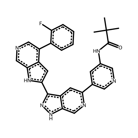 CC(C)(C)C(=O)Nc1cncc(-c2cc3c(-c4cc5c(-c6ccccc6F)cncc5[nH]4)n[nH]c3cn2)c1